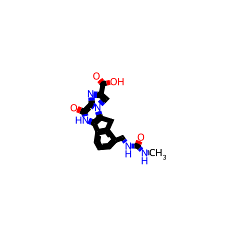 CNC(=O)NCc1cccc2c1Cc1c-2[nH]c(=O)c2nc(C(=O)O)cn12